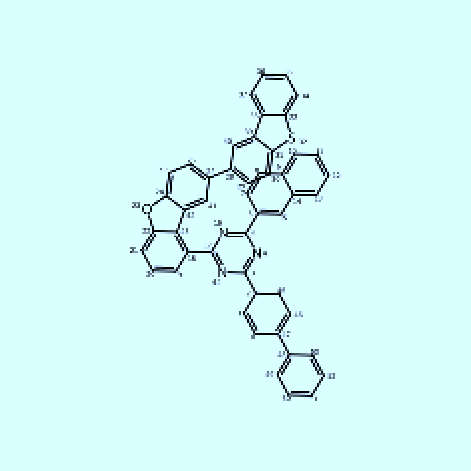 C1=CC(c2nc(-c3ccc4ccccc4c3)nc(-c3cccc4oc5ccc(-c6ccc7sc8ccccc8c7c6)cc5c34)n2)CC=C1c1ccccc1